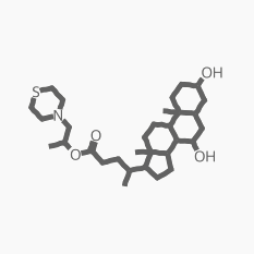 CC(CN1CCSCC1)OC(=O)CCC(C)C1CCC2C3C(O)CC4CC(O)CCC4(C)C3CCC12C